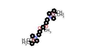 Cc1c2oc3cc4cc(N(c5ccccc5)c5cccc6c5oc5c(C(C)(C)C)cccc56)ccc4cc3c2cc2oc3cc4cc(N(c5ccccc5)c5cccc6c5oc5c(C(C)(C)C)cccc56)ccc4cc3c12